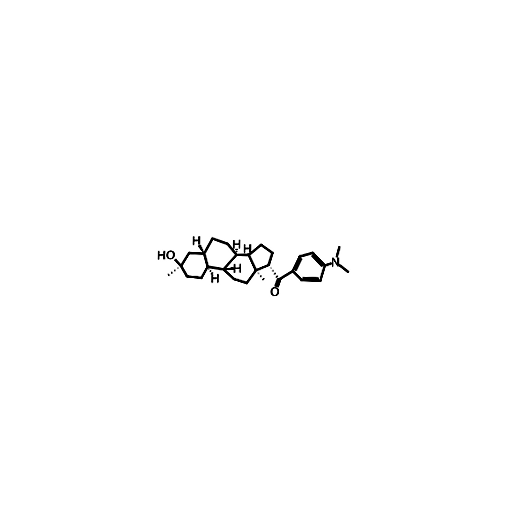 CN(C)c1ccc(C(=O)[C@H]2CC[C@H]3[C@@H]4CC[C@H]5C[C@](C)(O)CC[C@@H]5[C@H]4CC[C@]23C)cc1